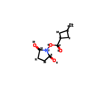 CCC1CC(C(=O)ON2C(=O)CCC2=O)C1